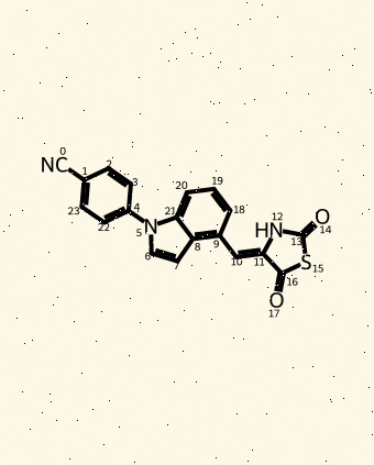 N#Cc1ccc(-n2ccc3c(C=C4NC(=O)SC4=O)cccc32)cc1